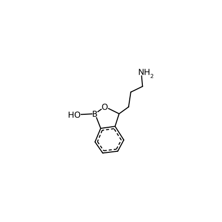 NCCCC1OB(O)c2ccccc21